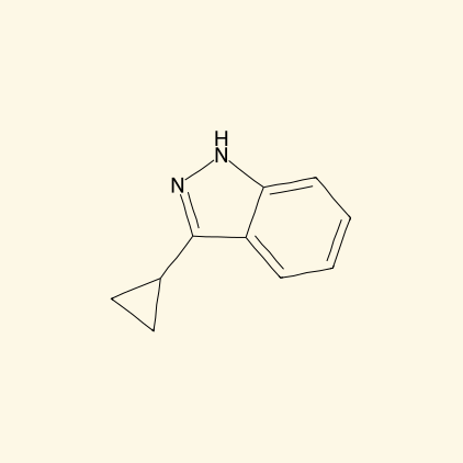 c1ccc2c(C3CC3)n[nH]c2c1